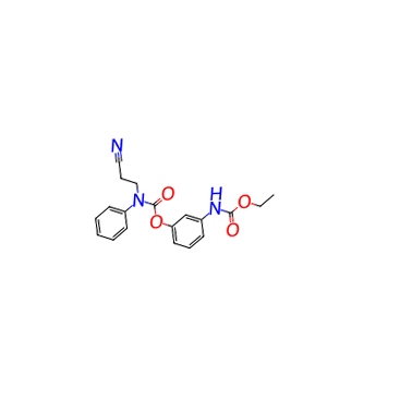 CCOC(=O)Nc1cccc(OC(=O)N(CCC#N)c2ccccc2)c1